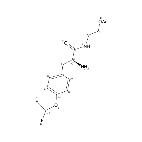 CC(=O)OCCNC(=O)[C@@H](N)Cc1ccc(OC(F)F)cc1